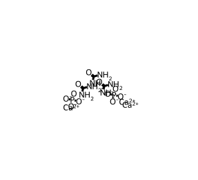 NC(N)=O.NC(N)=O.NC(N)=O.O=P([O-])([O-])[O-].O=P([O-])([O-])[O-].[Ca+2].[Ca+2].[Ca+2]